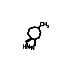 CC1CCCC2=CNN=CC2CC1